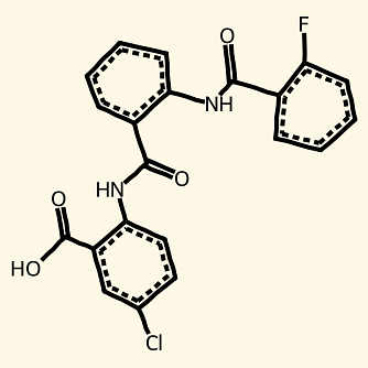 O=C(Nc1ccccc1C(=O)Nc1ccc(Cl)cc1C(=O)O)c1ccccc1F